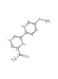 CCc1ccc(-c2[c]ncc(C(N)=O)n2)nc1